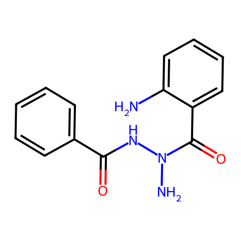 Nc1ccccc1C(=O)N(N)NC(=O)c1ccccc1